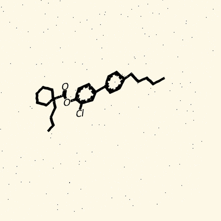 CCCCCc1ccc(-c2ccc(OC(=O)C3(CCCC)CCCCC3)c(Cl)c2)cc1